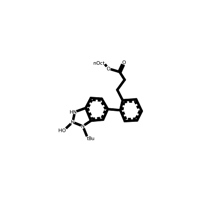 CCCCCCCCOC(=O)CCc1ccccc1-c1ccc2c(c1)N(C(C)(C)C)N(O)N2